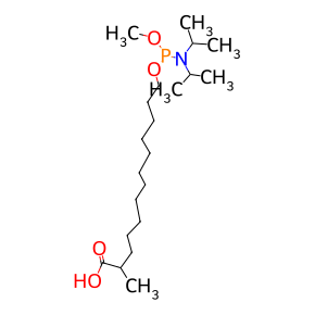 COP(OCCCCCCCCCCCC(C)C(=O)O)N(C(C)C)C(C)C